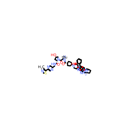 Cc1ncsc1-c1cnc(CNC(=O)[C@@H]2C[C@@H](O)CN2C(=O)[C@@H](NC(=O)[C@H]2CC[C@@H](N3CCC(c4ccc(N5C6CCC5CN(c5cc(-c7ccccc7O)nnc5N)C6)cc4)CC3)CC2)C(C)(C)C)cn1